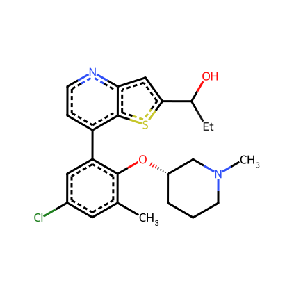 CCC(O)c1cc2nccc(-c3cc(Cl)cc(C)c3O[C@H]3CCCN(C)C3)c2s1